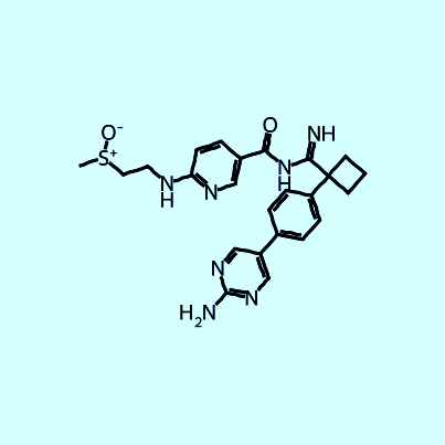 C[S+]([O-])CCNc1ccc(C(=O)NC(=N)C2(c3ccc(-c4cnc(N)nc4)cc3)CCC2)cn1